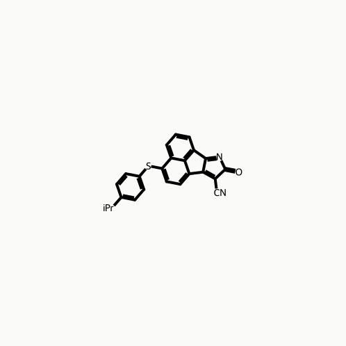 CC(C)c1ccc(Sc2ccc3c4c(cccc24)C2=NC(=O)C(C#N)=C23)cc1